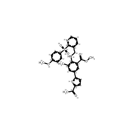 COC(=O)c1cc(-c2ccc(C(C)=O)s2)cc(C)c1NCc1cccnc1S(=O)(=O)c1ccc(OC)cc1